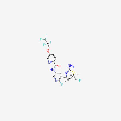 C[C@]1(CF)C[C@@](C)(c2cc(NC(=O)c3ccc(OCC(F)(F)C(F)F)cn3)cnc2F)N=C(N)S1